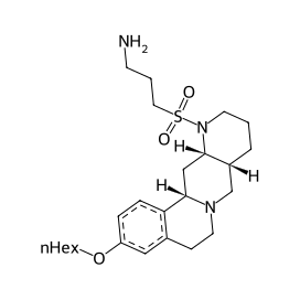 CCCCCCOc1ccc2c(c1)CCN1C[C@H]3CCCN(S(=O)(=O)CCCN)[C@H]3C[C@@H]21